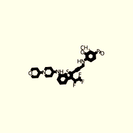 COc1cc(P=O)ccc1NCC#Cc1sc2c(NC3CCN(C4CCOCC4)CC3)cccc2c1C(F)C(F)F